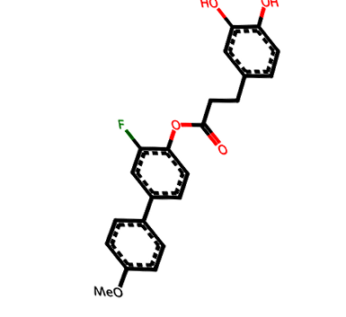 COc1ccc(-c2ccc(OC(=O)CCc3ccc(O)c(O)c3)c(F)c2)cc1